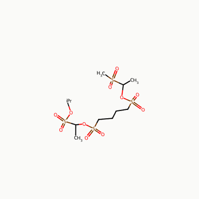 CC(C)OS(=O)(=O)C(C)OS(=O)(=O)CCCCS(=O)(=O)OC(C)S(C)(=O)=O